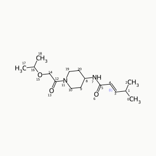 CC(C)/C=C/C(=O)NC1CCN(C(=O)COC(C)C)CC1